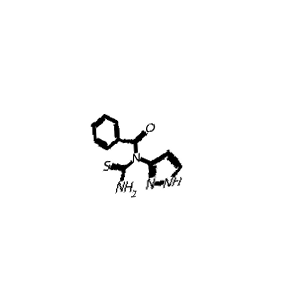 NC(=S)N(C(=O)c1ccccc1)c1cc[nH]n1